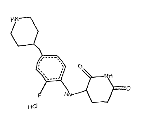 Cl.O=C1CCC(Nc2ccc(C3CCNCC3)cc2F)C(=O)N1